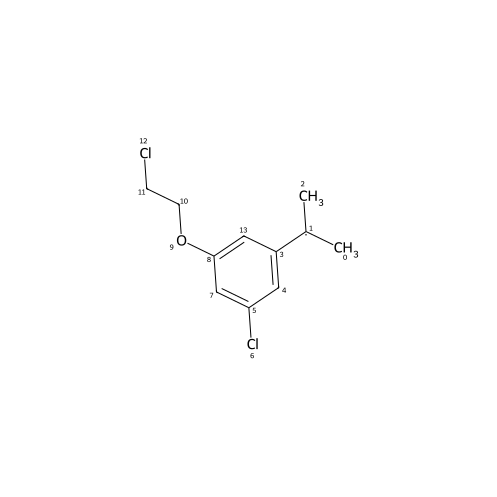 C[C](C)c1cc(Cl)cc(OCCCl)c1